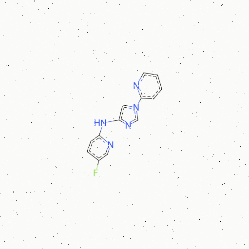 Fc1ccc(Nc2cn(-c3ccccn3)cn2)nc1